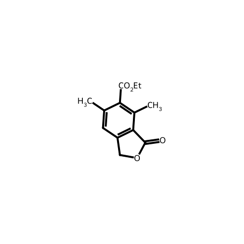 CCOC(=O)c1c(C)cc2c(c1C)C(=O)OC2